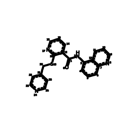 O=C(Nc1cccc2ncccc12)c1cccnc1SCc1ccncc1